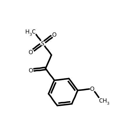 COc1cccc(C(=O)CS(C)(=O)=O)c1